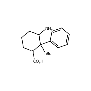 CCCCC1(c2ccccc2)C(N)CCCN1C(=O)O